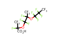 O=C(O)C(F)(OC(F)(F)C(F)(OC(F)(F)C(F)(F)C(F)(F)F)C(F)(F)F)C(F)(F)F